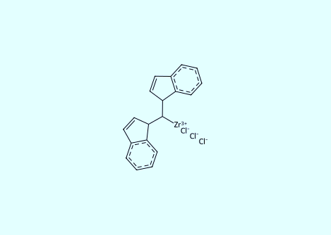 [Cl-].[Cl-].[Cl-].[Zr+3][CH](C1C=Cc2ccccc21)C1C=Cc2ccccc21